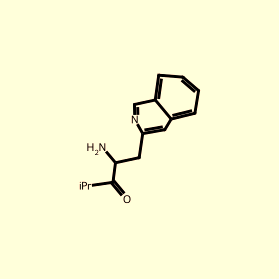 CC(C)C(=O)C(N)Cc1cc2ccccc2cn1